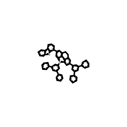 c1ccc(-c2cc(-c3ccccc3)cc(-c3cc4c5c6c(cc(-c7cccc8c7sc7ccccc78)cc6n(-c6cc(-c7ccccc7)cc(-c7ccccc7)c6)c5c3)CC4)c2)cc1